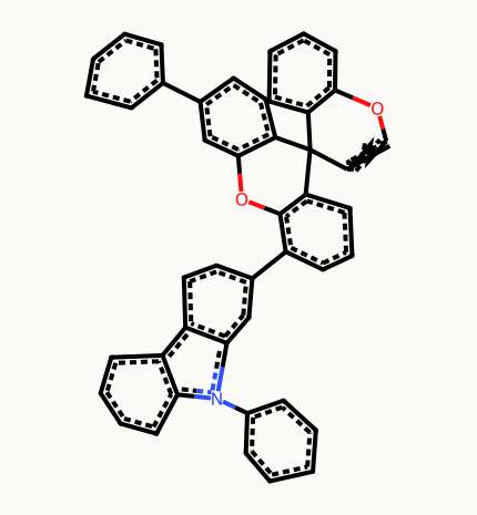 c1ccc(-c2ccc3c(c2)Oc2c(-c4ccc5c6ccccc6n(-c6ccccc6)c5c4)cccc2C32c3ccccc3Oc3ccccc32)cc1